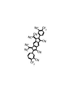 N#CC1=CC(C2=C(C#N)c3cc4c(cc3C2=C(C#N)C#N)C(=C(C#N)C#N)C(c2ccc(C(F)(F)F)c(C#N)c2)=C4C#N)C=CC=C1C(F)(F)F